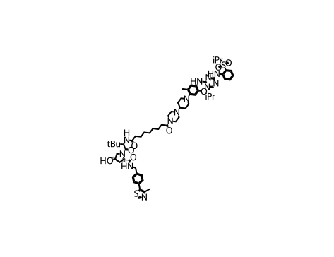 Cc1cc(Nc2ncnc(Nc3ccccc3S(=O)(=O)C(C)C)n2)c(OC(C)C)cc1N1CCC(N2CCN(C(=O)CCCCCCCC(=O)NC(C(=O)N3C[C@H](O)C[C@H]3C(=O)NCc3ccc(-c4scnc4C)cc3)C(C)(C)C)CC2)CC1